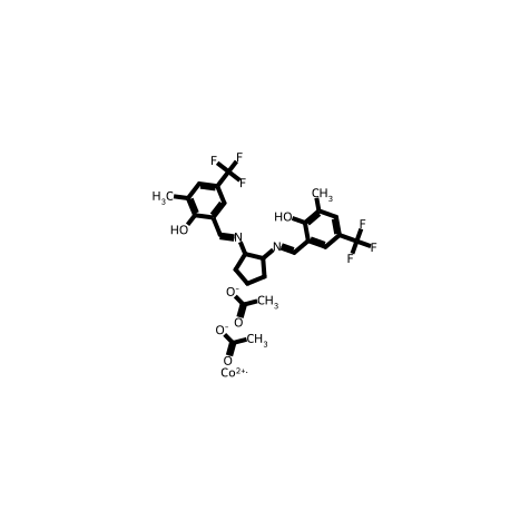 CC(=O)[O-].CC(=O)[O-].Cc1cc(C(F)(F)F)cc(C=NC2CCCC2N=Cc2cc(C(F)(F)F)cc(C)c2O)c1O.[Co+2]